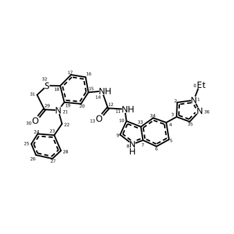 CCn1cc(-c2ccc3[nH]cc(NC(=O)Nc4ccc5c(c4)N(Cc4ccccc4)C(=O)CS5)c3c2)cn1